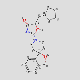 O=C1N=C(N2CCC3(CC2)OCc2ccccc23)OC1CC1CCCC1